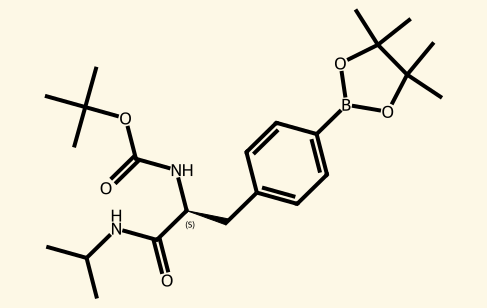 CC(C)NC(=O)[C@H](Cc1ccc(B2OC(C)(C)C(C)(C)O2)cc1)NC(=O)OC(C)(C)C